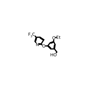 CCOc1cc(CO)cc(Oc2ccc(C(F)(F)F)cn2)c1